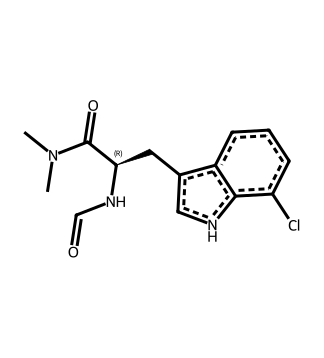 CN(C)C(=O)[C@@H](Cc1c[nH]c2c(Cl)cccc12)NC=O